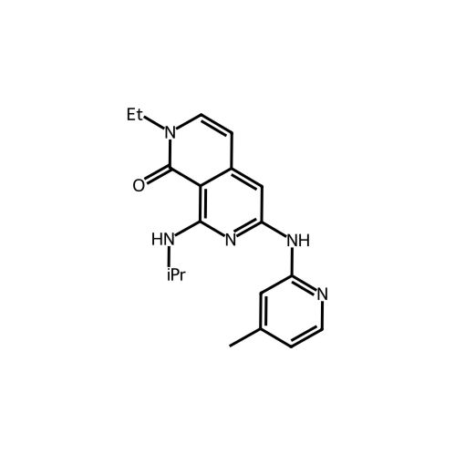 CCn1ccc2cc(Nc3cc(C)ccn3)nc(NC(C)C)c2c1=O